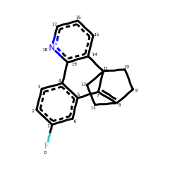 Fc1ccc2c(c1)C1=C3CCC1(CC3)c1cccnc1-2